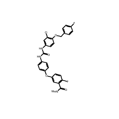 CNC(=O)c1cc(Oc2ccc(NC(=O)Nc3ccc(OCc4ccc(F)cc4)c(Cl)c3)cc2)ccc1F